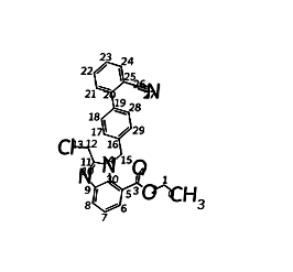 CCOC(=O)c1cccc2nc(CCl)n(Cc3ccc(-c4ccccc4C#N)cc3)c12